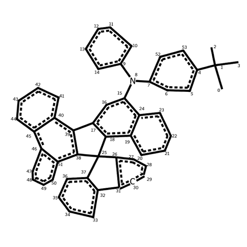 CC(C)(C)c1ccc(N(c2ccccc2)c2cc3c(c4ccccc24)C2(c4ccccc4-c4ccccc42)c2c-3c3ccccc3c3ccccc23)cc1